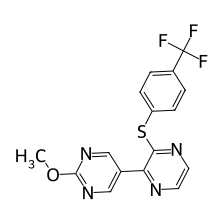 COc1ncc(-c2nccnc2Sc2ccc(C(F)(F)F)cc2)cn1